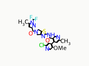 COc1cnc(Cl)cc1-c1cc(C)ncc1C(=O)Nc1nc2c(s1)CN(C(=O)c1cc(C)n(C(F)F)n1)C2